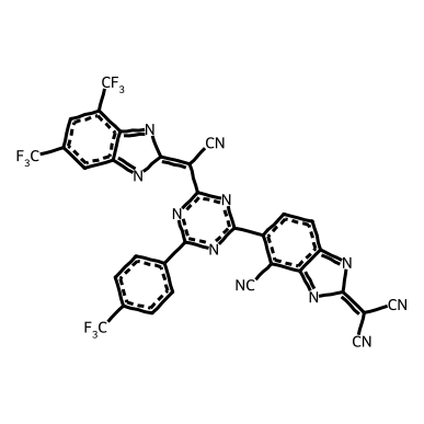 N#CC(C#N)=C1N=c2ccc(-c3nc(/C(C#N)=C4\N=c5cc(C(F)(F)F)cc(C(F)(F)F)c5=N4)nc(-c4ccc(C(F)(F)F)cc4)n3)c(C#N)c2=N1